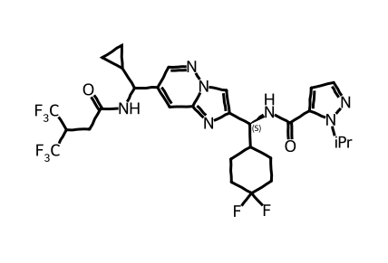 CC(C)n1nccc1C(=O)N[C@H](c1cn2ncc(C(NC(=O)CC(C(F)(F)F)C(F)(F)F)C3CC3)cc2n1)C1CCC(F)(F)CC1